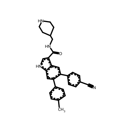 Cc1ccc(-c2cc3[nH]cc(C(=O)NCC4CCNCC4)c3cc2-c2ccc(C#N)cc2)cc1